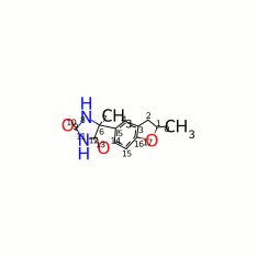 CC1Cc2cc(C3(C)NC(=O)NC3=O)ccc2O1